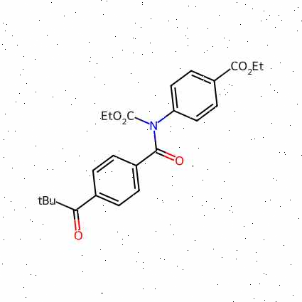 CCOC(=O)c1ccc(N(C(=O)OCC)C(=O)c2ccc(C(=O)C(C)(C)C)cc2)cc1